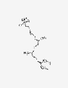 CC(C)=CCCC(C)=CCCC(C)=CCSCCS(=O)(=O)O